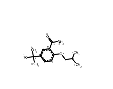 CC(C)COc1ccc(C(C)(C)O)cc1C(N)=O